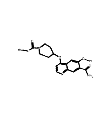 CC(C)Oc1cc2c(OC3CCN(C(=O)OC(C)(C)C)CC3)ccnc2cc1C(N)=O